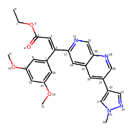 CCOC(=O)/C=C(\c1cc(OC)cc(OC)c1)c1cc2cc(-c3cnn(C)c3)cnc2cn1